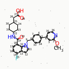 COc1cc(-c2ccc(Cn3ccc4c(F)ccc(C(=O)NC5CCC(CC(=O)O)CC5)c43)cc2)ccn1